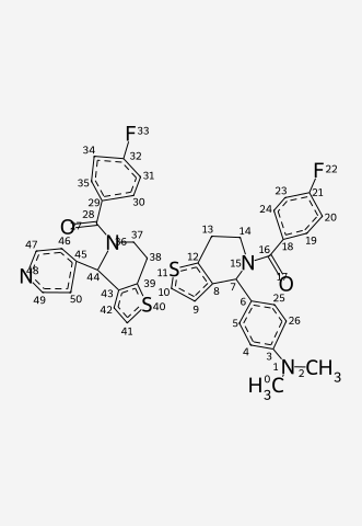 CN(C)c1ccc(C2c3ccsc3CCN2C(=O)c2ccc(F)cc2)cc1.O=C(c1ccc(F)cc1)N1CCc2sccc2C1c1ccncc1